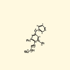 CC(C)c1cc(Oc2ccccc2)cc(C(C)C)c1N=CNC(C)(C)C